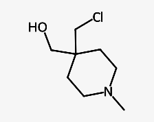 CN1CCC(CO)(CCl)CC1